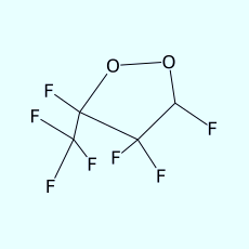 FC1OOC(F)(C(F)(F)F)C1(F)F